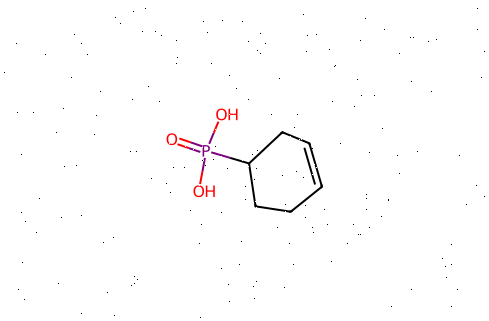 O=P(O)(O)C1CC=CCC1